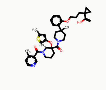 C=C(O)C1(CCCOc2ccccc2C2(C#N)CCN(C(=O)[C@]3(Oc4csc(C(F)(F)F)c4)CCCN(C(=O)c4cnccc4C(F)(F)F)[C@@H]3CCC)CC2)CC1